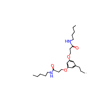 [CH2]CCc1cc(OCCC(=O)NCCCCC)cc(OCCC(=O)NCCCCC)c1